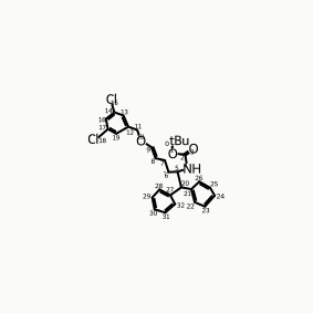 CC(C)(C)OC(=O)NC([CH]CC=COCc1cc(Cl)cc(Cl)c1)C(c1ccccc1)c1ccccc1